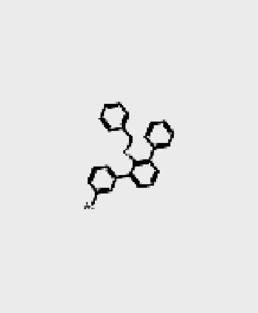 CC(=O)c1cccc(-c2cccc(-c3ccccc3)c2OCc2ccccc2)c1